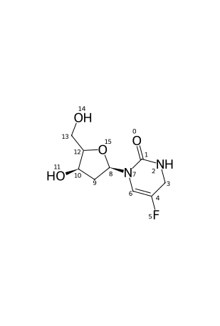 O=C1NCC(F)=CN1[C@H]1C[C@@H](O)C(CO)O1